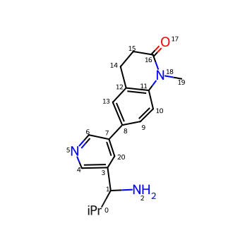 CC(C)C(N)c1cncc(-c2ccc3c(c2)CCC(=O)N3C)c1